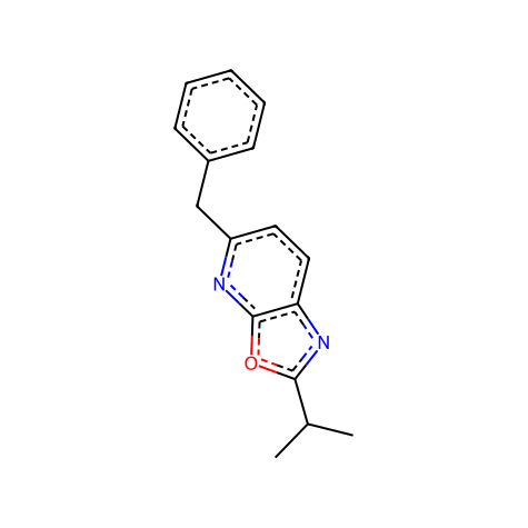 CC(C)c1nc2ccc(Cc3ccccc3)nc2o1